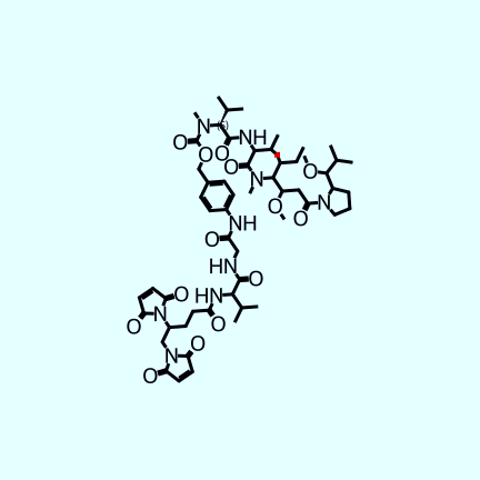 CCC(C)C(C(CC(=O)N1CCCC1C(OC)C(C)C)OC)N(C)C(=O)C(NC(=O)[C@H](C(C)C)N(C)C(=O)OCc1ccc(NC(=O)CNC(=O)C(NC(=O)CCC(CN2C(=O)C=CC2=O)N2C(=O)C=CC2=O)C(C)C)cc1)C(C)C